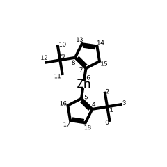 CC(C)(C)C1=[C]([Zn][C]2=C(C(C)(C)C)C=CC2)CC=C1